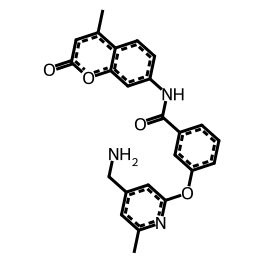 Cc1cc(CN)cc(Oc2cccc(C(=O)Nc3ccc4c(C)cc(=O)oc4c3)c2)n1